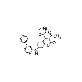 CC(=O)c1c(C2CNCCO2)c2ccc(Nc3cc(-c4ccccc4)ncn3)cc2oc1=O